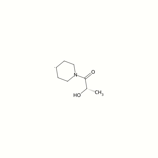 C[C@H](O)C(=O)N1CC[CH]CC1